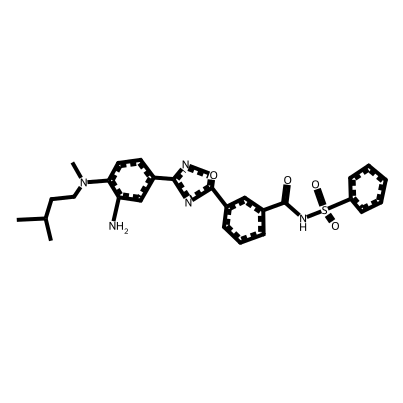 CC(C)CCN(C)c1ccc(-c2noc(-c3cccc(C(=O)NS(=O)(=O)c4ccccc4)c3)n2)cc1N